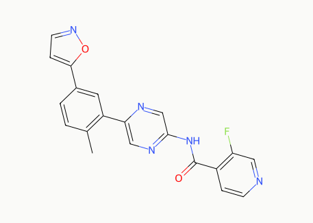 Cc1ccc(-c2ccno2)cc1-c1cnc(NC(=O)c2ccncc2F)cn1